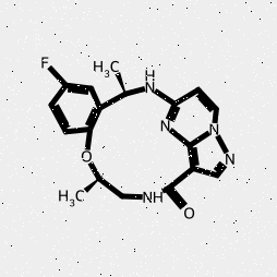 C[C@@H]1CNC(=O)c2cnn3ccc(nc23)N[C@H](C)c2cc(F)ccc2O1